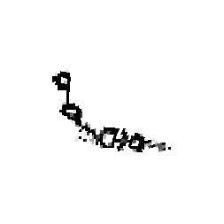 CCCCOc1ccc(S(=O)(=O)N2CCC(NC[C@H](O)COc3ccc(OCc4ccccc4)cc3)CC2)cc1